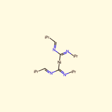 CC(C)C=N[C](=NC(C)C)[Ni][C](N=CC(C)C)=NC(C)C